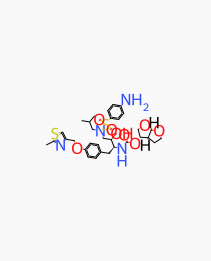 Cc1nc(COc2ccc(C[C@H](NC(=O)OC3CO[C@H]4OCC[C@@H]34)[C@H](O)CN(CC(C)C)S(=O)(=O)c3ccc(N)cc3)cc2)cs1